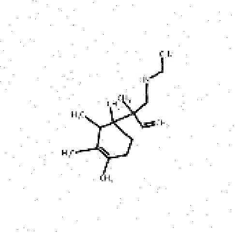 C=CC(C)(CNCC)C1(C)CCC(C)=C(C)C1C